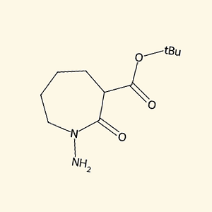 CC(C)(C)OC(=O)C1CCCCN(N)C1=O